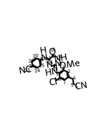 COc1cc(CCC#N)cc(Cl)c1Nc1n[nH]c(=O)c(Nc2ccc(C#N)cc2)n1